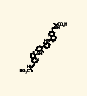 Cc1c(Nc2nccc3cc(CNC(C)C(=O)O)cnc23)cccc1-c1cccc(Nc2nccc3cc(CNC(C)C(=O)O)cnc23)c1C